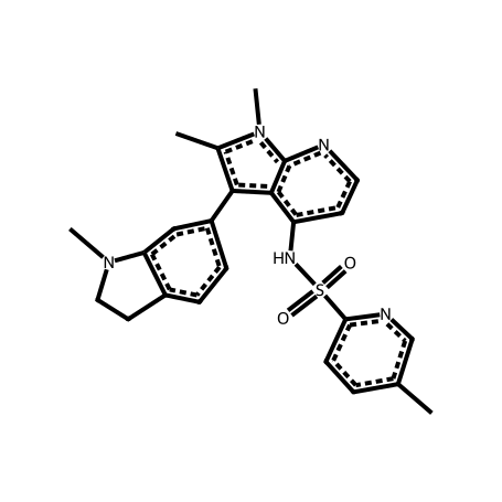 Cc1ccc(S(=O)(=O)Nc2ccnc3c2c(-c2ccc4c(c2)N(C)CC4)c(C)n3C)nc1